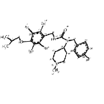 [2H]c1c([2H])c(OCC(C)C)c([2H])c([2H])c1CNC(=O)N(Cc1ccc(F)cc1)C1CCN(C)CC1